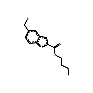 CCCCOC(=O)c1cc2cc(CBr)ccc2s1